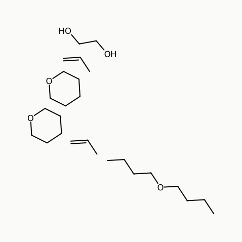 C1CCOCC1.C1CCOCC1.C=CC.C=CC.CCCCOCCCC.OCCO